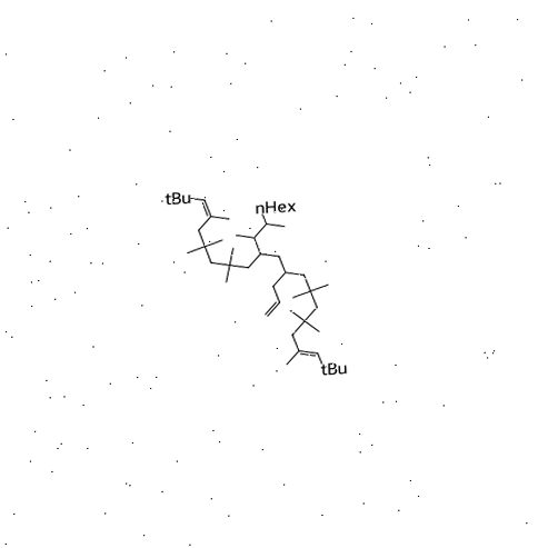 C=CCC(CC(CC(C)(C)CC(C)(C)CC(C)=CC(C)(C)C)C(C)C(C)CCCCCC)CC(C)(C)CC(C)(C)CC(C)=CC(C)(C)C